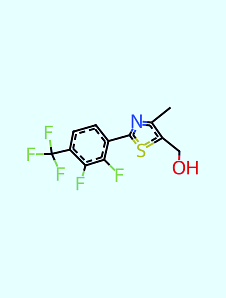 Cc1nc(-c2ccc(C(F)(F)F)c(F)c2F)sc1CO